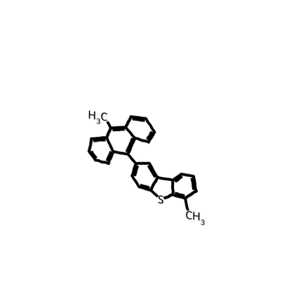 Cc1c2ccccc2c(-c2ccc3sc4c(C)cccc4c3c2)c2ccccc12